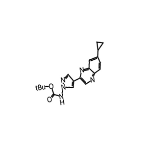 CC(C)(C)OC(=O)Nn1cc(-c2cnc3ccc(C4CC4)cc3n2)cn1